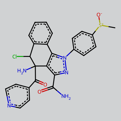 C[S+]([O-])c1ccc(-n2nc(C(N)=O)c3c2-c2ccccc2C(Cl)C3(N)C(=O)c2ccncc2)cc1